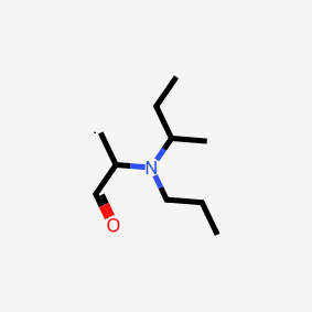 [CH2]C(C=O)N(CCC)C(C)CC